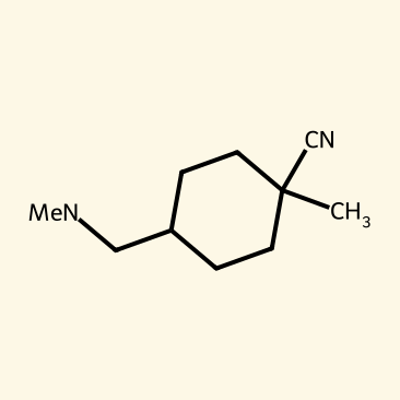 CNCC1CCC(C)(C#N)CC1